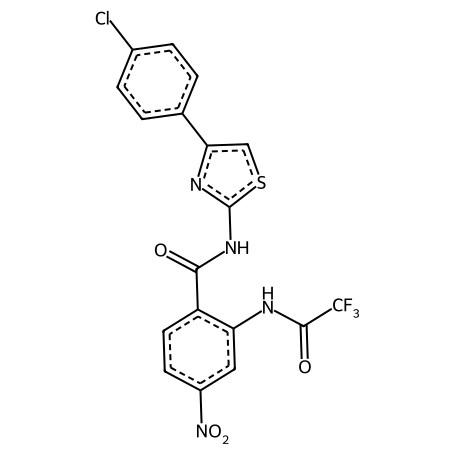 O=C(Nc1nc(-c2ccc(Cl)cc2)cs1)c1ccc([N+](=O)[O-])cc1NC(=O)C(F)(F)F